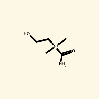 C[N+](C)(CCO)C(N)=O